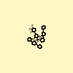 Fc1ccc(-c2cc(-n3c4ccccc4c4ccc(-c5ccccc5)cc43)c(C(F)(F)F)c(-n3c4ccccc4c4ccc(-c5ccccc5)cc43)c2)c(F)c1F